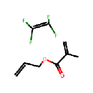 C=CCOC(=O)C(=C)C.FC(F)=C(F)F